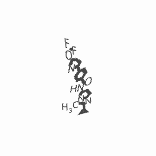 Cc1c(C2CC2)nc2ccc(NC(=O)c3ccc(-c4ccc(OC(F)F)cn4)cc3)cn12